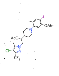 COc1cc(N2CCC(C(Cn3nc(C(F)(F)F)c(Cl)c3C)OC(C)=O)CC2)c(C)cc1I